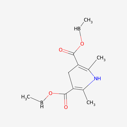 CBOC(=O)C1=C(C)NC(C)=C(C(=O)OBC)C1